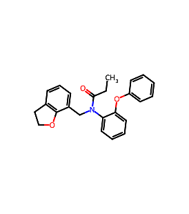 CCC(=O)N(Cc1cccc2c1OCC2)c1ccccc1Oc1ccccc1